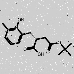 Cc1cccc(C[C@H](CC(=O)OC(C)(C)C)C(=O)O)[n+]1O